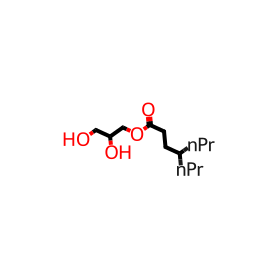 CCCC(CCC)CCC(=O)OCC(O)CO